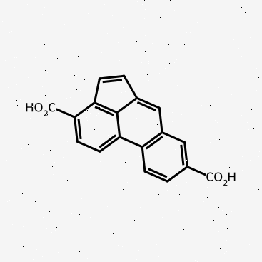 O=C(O)c1ccc2c(c1)cc1c3c(c(C(=O)O)ccc32)C=C1